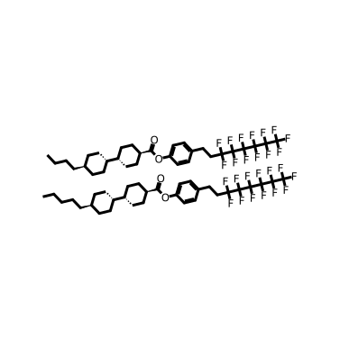 CCCCC[C@H]1CC[C@H]([C@H]2CC[C@H](C(=O)Oc3ccc(CCC(F)(F)C(F)(F)C(F)(F)C(F)(F)C(F)(F)C(F)(F)F)cc3)CC2)CC1.CCCC[C@H]1CC[C@H]([C@H]2CC[C@H](C(=O)Oc3ccc(CCC(F)(F)C(F)(F)C(F)(F)C(F)(F)C(F)(F)C(F)(F)F)cc3)CC2)CC1